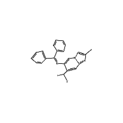 Cc1cn2cc(N=C(c3ccccc3)c3ccccc3)c(C(F)F)cc2n1